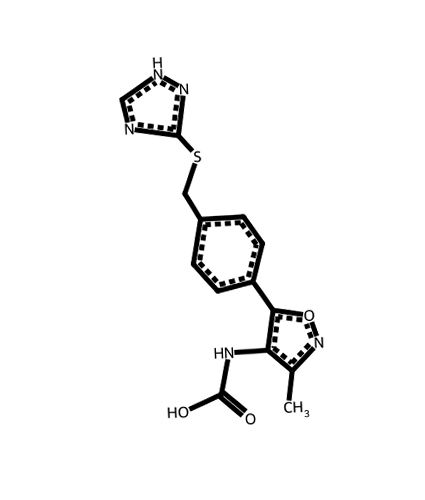 Cc1noc(-c2ccc(CSc3nc[nH]n3)cc2)c1NC(=O)O